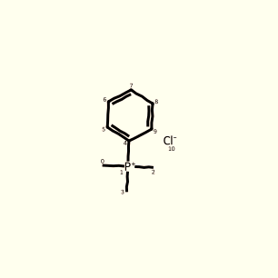 C[P+](C)(C)c1ccccc1.[Cl-]